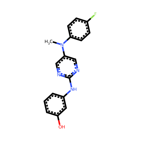 CN(c1ccc(F)cc1)c1cnc(Nc2cccc(O)c2)nc1